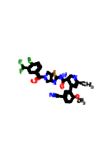 COc1ccc(C#N)cc1-c1cc(C)ncc1C(=O)Nc1nc2c(s1)CN(C(=O)c1ccc(F)c(C(F)F)c1)C2